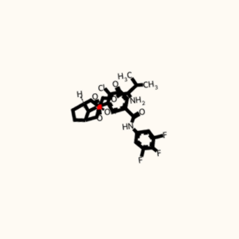 CC(C)C(N)C(=O)OC[C@]1(O)CC2CC[C@@H](C1)C2S(=O)(=O)c1cc(C(=O)Nc2cc(F)c(F)c(F)c2)ccc1Cl